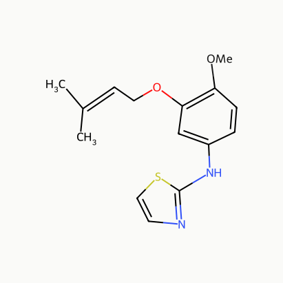 COc1ccc(Nc2nccs2)cc1OCC=C(C)C